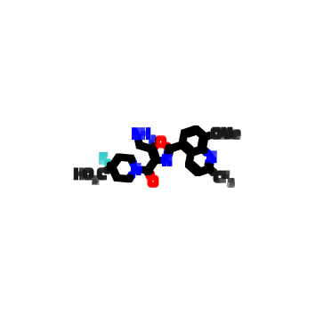 COc1ccc(-c2nc(C(=O)N3CCC(F)(C(=O)O)CC3)c(CN)o2)c2ccc(C(F)(F)F)nc12